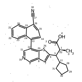 C[C@H](C(=O)O)C(c1cc2cncc(-c3ccc(C#N)c4ccccc34)c2s1)C1CCCC1